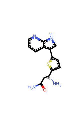 NC(=O)C[C@@H](N)c1ccc(-c2c[nH]c3ncccc23)s1